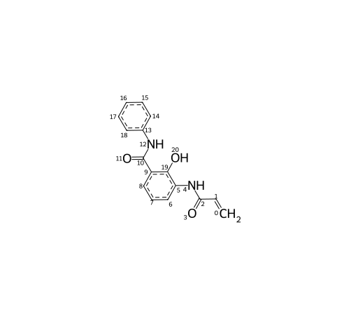 C=CC(=O)Nc1cccc(C(=O)Nc2ccccc2)c1O